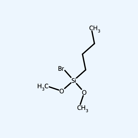 CCCC[Si](Br)(OC)OC